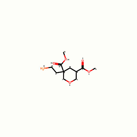 COC(=O)C1COCC(CCP)(C(=O)OC)C1